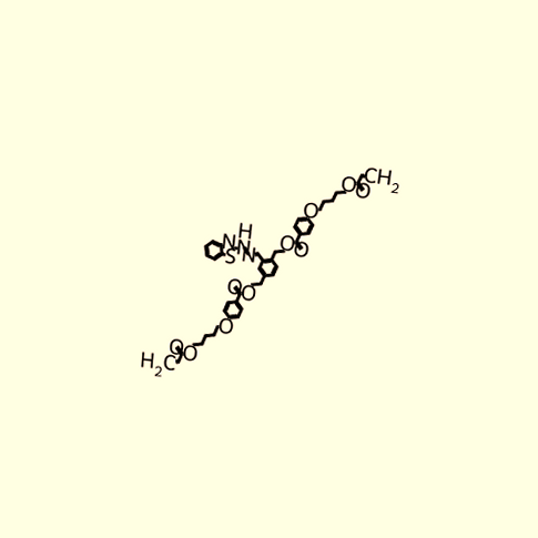 C=CC(=O)OCCCCCOc1ccc(C(=O)OCCc2ccc(CCOC(=O)c3ccc(OCCCCCOC(=O)C=C)cc3)c(/C=N/Nc3nc4ccccc4s3)c2)cc1